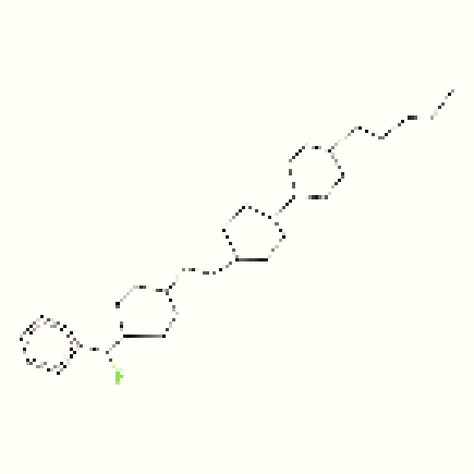 CCCCCC1CCC(C2CCC(CCC3CCC(C(F)c4ccccc4)CC3)CC2)CC1